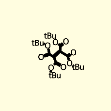 CC(C)(C)OC(=O)C(C(=O)OC(C)(C)C)=C(C(=O)OC(C)(C)C)C(=O)OC(C)(C)C